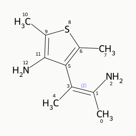 C/C(N)=C(\C)c1c(C)sc(C)c1N